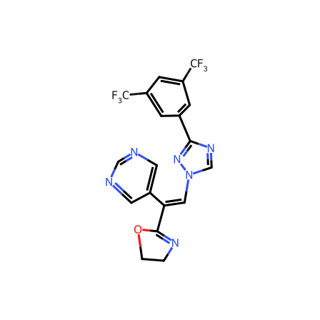 FC(F)(F)c1cc(-c2ncn(C=C(C3=NCCO3)c3cncnc3)n2)cc(C(F)(F)F)c1